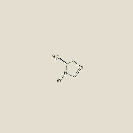 CC(C)N1C=NC[C@@H]1C